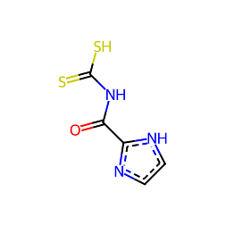 O=C(NC(=S)S)c1ncc[nH]1